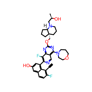 C#Cc1c(F)ccc2cc(O)cc(-c3ncc4c(N5CCCOCC5)nc(OC[C@]56CCC[C@H]5N(C[C@@H](C)O)CCC6)nc4c3F)c12